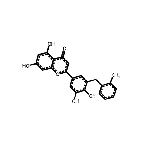 Cc1ccccc1Cc1cc(-c2cc(=O)c3c(O)cc(O)cc3o2)cc(O)c1O